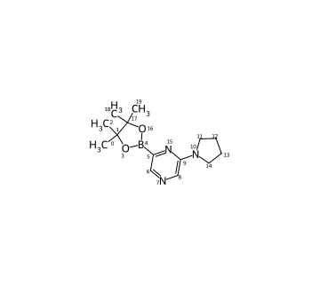 CC1(C)OB(c2cncc(N3CCCC3)n2)OC1(C)C